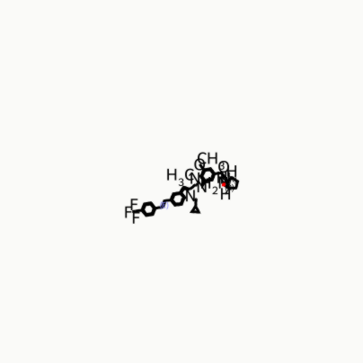 COc1cc(C(=O)N2C[C@H]3CC[C@@H]2[C@H]3N)cc2nc(-c3cc4cc(/C=C/c5ccc(C(F)(F)F)cc5)ccc4n3CC3CC3)n(C)c12